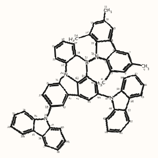 Cc1cc(C)c2c(c1)c1cc(C)cc(C)c1n2B1c2ccccc2-n2c3ccc(-n4c5ccccc5c5ccccc54)cc3c3cc(-n4c5ccccc5c5ccccc54)cc1c32